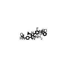 Nc1ncc(C2CCC(NC3COC3)CC2)c2c1c(-c1ccc(NS(=O)(=O)c3ccccc3Cl)c(F)c1)nn2C1CC1